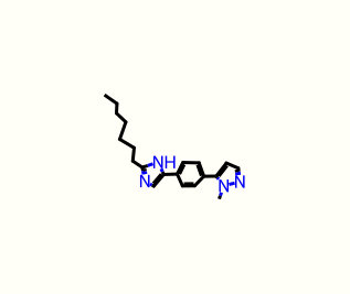 CCCCCCCc1ncc(-c2ccc(-c3ccnn3C)cc2)[nH]1